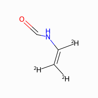 [2H]C([2H])=C([2H])NC=O